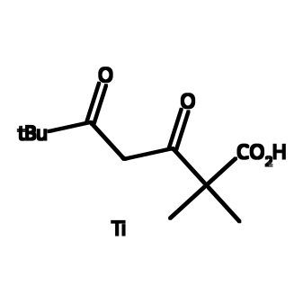 CC(C)(C)C(=O)CC(=O)C(C)(C)C(=O)O.[Ti]